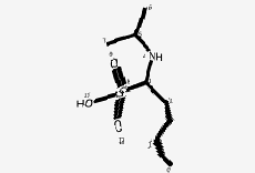 CCCC(NC(C)C)S(=O)(=O)O